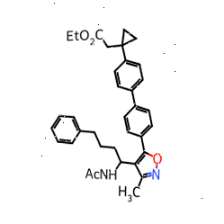 CCOC(=O)CC1(c2ccc(-c3ccc(-c4onc(C)c4C(CCCc4ccccc4)NC(C)=O)cc3)cc2)CC1